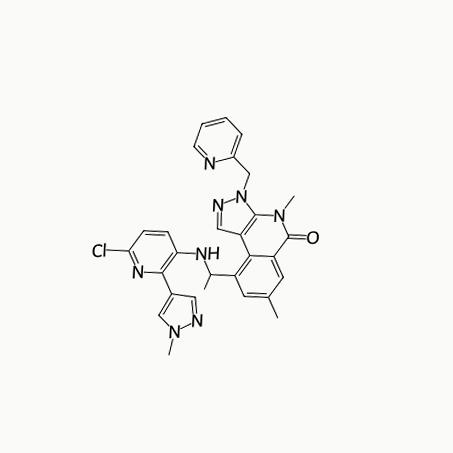 Cc1cc(C(C)Nc2ccc(Cl)nc2-c2cnn(C)c2)c2c(c1)c(=O)n(C)c1c2cnn1Cc1ccccn1